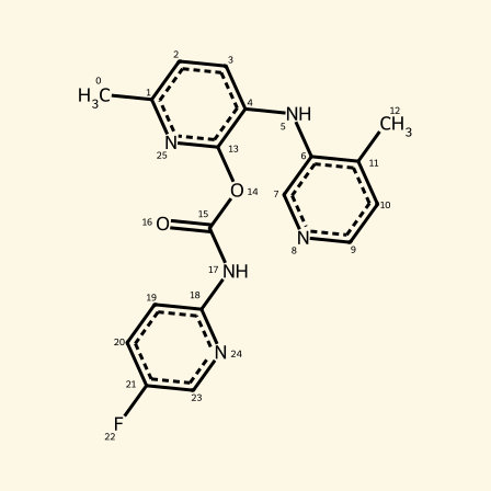 Cc1ccc(Nc2cnccc2C)c(OC(=O)Nc2ccc(F)cn2)n1